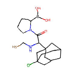 O=C(C(NCS)C12CC3CC(CC(Cl)(C3)C1)C2)N1CCCC1B(O)O